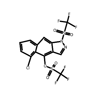 O=S(=O)(Oc1c2cnn(S(=O)(=O)C(F)(F)F)c2cc2cccc(Cl)c12)C(F)(F)F